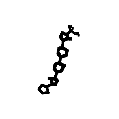 C[C@H](N)c1ncc(-c2ccc(-c3ccc(-c4cnc(C5CCCC5)[nH]4)cn3)cc2)[nH]1